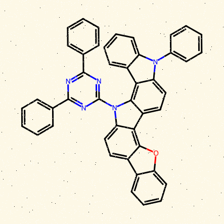 c1ccc(-c2nc(-c3ccccc3)nc(-n3c4ccc5c6ccccc6oc5c4c4ccc5c(c6ccccc6n5-c5ccccc5)c43)n2)cc1